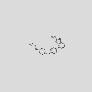 CCOC1CCN(Cc2ccc(-c3cccc4nc(N)nn34)cc2)CC1